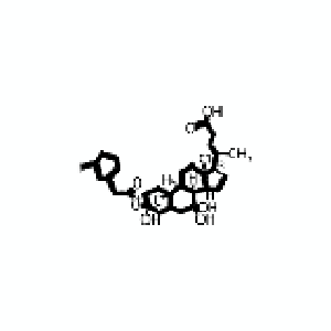 C[C@H](CCC(=O)O)[C@H]1CC[C@H]2[C@H]3[C@H](CC[C@]12C)[C@@]1(C)CC[C@](O)(OC(=O)Cc2cccc(I)c2)CC1CC3(O)O